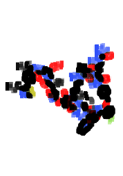 Cc1ncsc1-c1ccc([C@H](C)NC(=O)[C@@H]2C[C@@H](O)CN2C(=O)[C@@H](c2cc(OCCN3CCN(CCOc4cc(N5C6CCC5CN(c5cc(-c7cc(F)ccc7OCc7ccc(NC(=O)[C@H](CCCNC(N)=O)NC(=O)C8(C(=O)NCCCCCN9C(=O)C=CC9=O)CCC8)cc7)nnc5N)C6)ccn4)[C@H](C)C3)no2)C(C)C)cc1